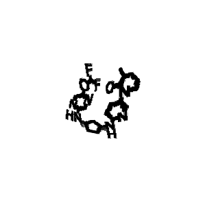 Cc1cccn(-c2ccc(N[C@H]3CC[C@H](Nc4cnc(OC(F)F)cn4)C3)nc2)c1=O